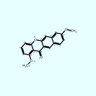 COc1ccc2cc3c(=O)c4c(OC)cccc4oc3cc2c1